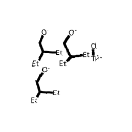 CCC(CC)C[O-].CCC(CC)C[O-].CCC(CC)C[O-].[Cl][Ti+3]